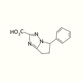 O=C(O)c1nc2n(n1)C(c1ccccc1)CC2